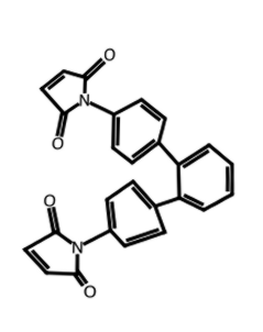 O=C1C=CC(=O)N1c1ccc(-c2ccccc2-c2ccc(N3C(=O)C=CC3=O)cc2)cc1